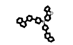 c1cc(-c2ccc(N(c3ccc(-c4ccc5ccccc5c4)cc3)c3ccc4oc5ccccc5c4c3)cc2)cc(-c2cccc3ccccc23)c1